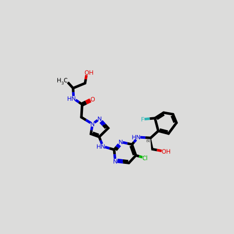 CC(CO)NC(=O)Cn1cc(Nc2ncc(Cl)c(N[C@H](CO)c3ccccc3F)n2)cn1